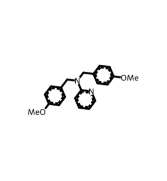 COc1ccc(CN(Cc2ccc(OC)cc2)c2ccccn2)cc1